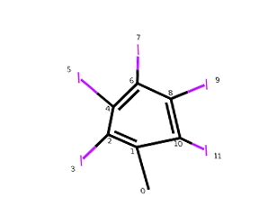 Cc1c(I)c(I)c(I)c(I)c1I